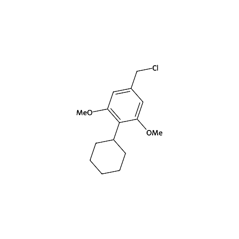 COc1cc(CCl)cc(OC)c1C1CCCCC1